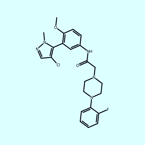 COc1ccc(NC(=O)CN2CCN(c3ccccc3F)CC2)cc1-c1c(Cl)cnn1C